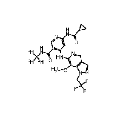 [2H]C([2H])([2H])NC(=O)c1cnc(NC(=O)C2CC2)cc1Nc1ncc2cnn(CC(F)(F)F)c2c1OC